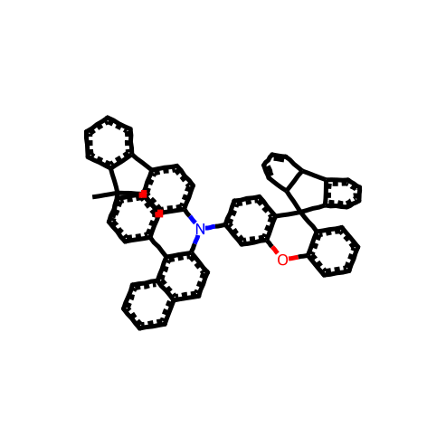 CC1(C)c2ccccc2-c2ccc(N(c3ccc4c(c3)Oc3ccccc3C43c4ccccc4C4C=CC=CC43)c3ccc4ccccc4c3-c3ccccc3)cc21